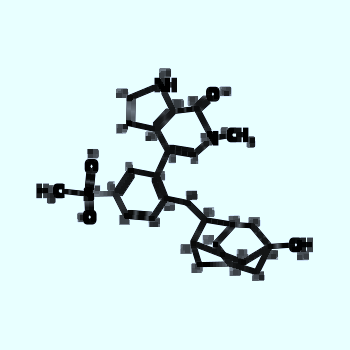 Cn1cc(-c2cc(S(C)(=O)=O)ccc2CC2C3CC4CC2CC(O)(C4)C3)c2cc[nH]c2c1=O